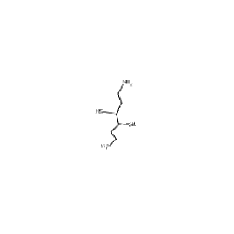 NCCC(S)C(S)CCN